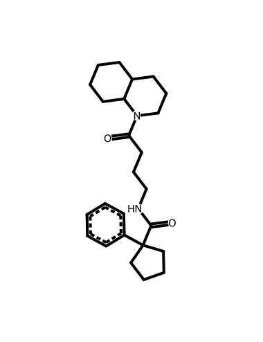 O=C(CCCNC(=O)C1(c2ccccc2)CCCC1)N1CCCC2CCCCC21